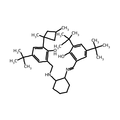 CC1CC(C)(c2cc(C(C)(C)C)cc(CNC3CCCCC3/N=C/c3cc(C(C)(C)C)cc(C(C)(C)C)c3O)c2O)C1